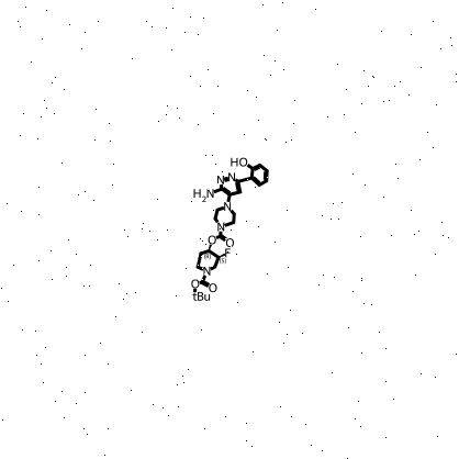 CC(C)(C)OC(=O)N1CC[C@@H](OC(=O)N2CCN(c3cc(-c4ccccc4O)nnc3N)CC2)[C@@H](F)C1